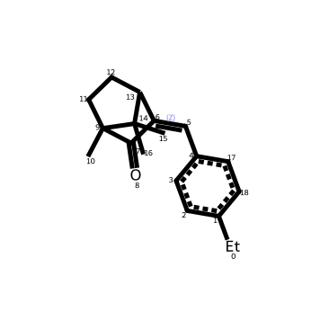 CCc1ccc(/C=C2\C(=O)C3(C)CCC2C3(C)C)cc1